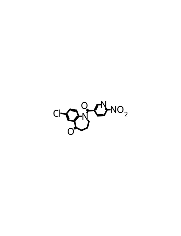 O=C1CCCN(C(=O)c2ccc([N+](=O)[O-])nc2)c2ccc(Cl)cc21